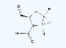 O=C[C@H]1C[C@H]2C[C@H]2N1C(=O)O